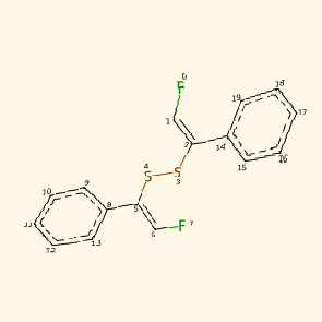 FC=C(SSC(=CF)c1ccccc1)c1ccccc1